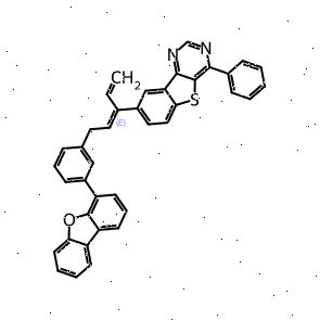 C=C/C(=C\Cc1cccc(-c2cccc3c2oc2ccccc23)c1)c1ccc2sc3c(-c4ccccc4)ncnc3c2c1